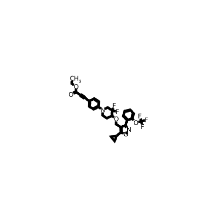 CCOC(=O)C#Cc1ccc(N2CCC(OCc3c(-c4ccccc4OC(F)(F)F)noc3C3CC3)C(F)(F)C2)cc1